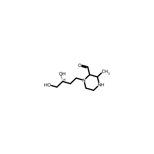 CC1NCCN(CC[C@@H](O)CO)C1C=O